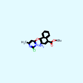 Cc1cc(Oc2c(N)cc(C(=O)OC(C)(C)C)c3ccccc23)nc(Cl)n1